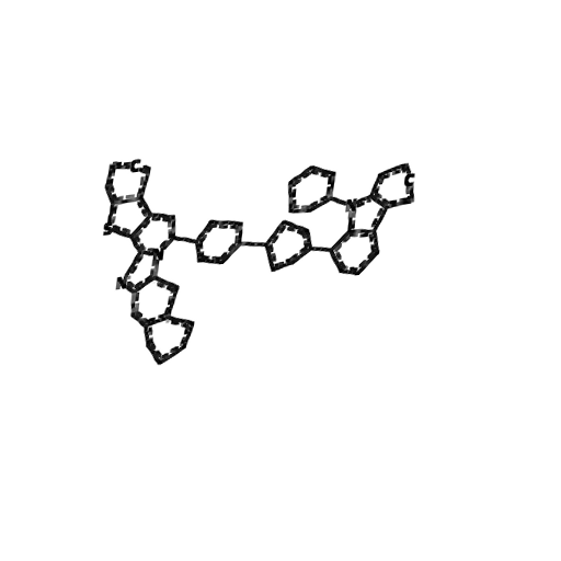 c1ccc(-n2c3ccccc3c3cccc(-c4ccc(-c5ccc(-c6cc7c8ccccc8sc7c7nc8cc9ccccc9cc8n67)cc5)cc4)c32)cc1